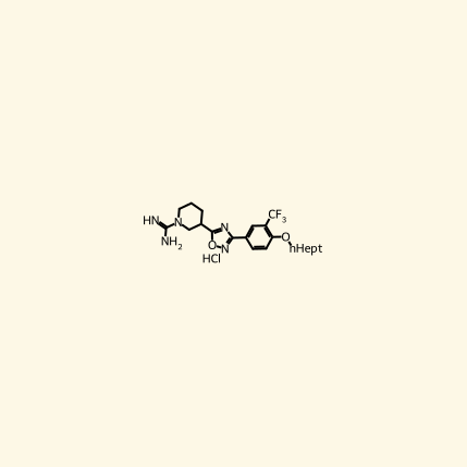 CCCCCCCOc1ccc(-c2noc(C3CCCN(C(=N)N)C3)n2)cc1C(F)(F)F.Cl